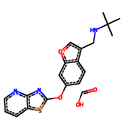 CC(C)(C)NCc1coc2cc(Oc3nc4ncccc4s3)ccc12.O=CO